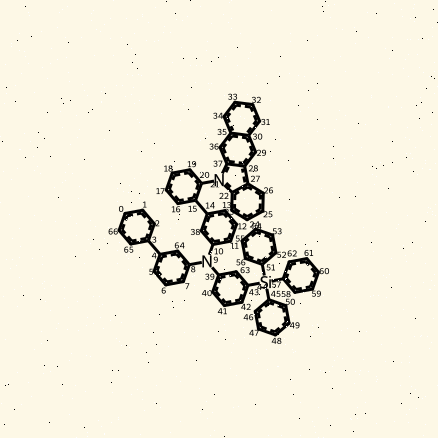 c1ccc(-c2cccc(N(c3cccc(-c4ccccc4-n4c5ccccc5c5cc6ccccc6cc54)c3)c3cccc([Si](c4ccccc4)(c4ccccc4)c4ccccc4)c3)c2)cc1